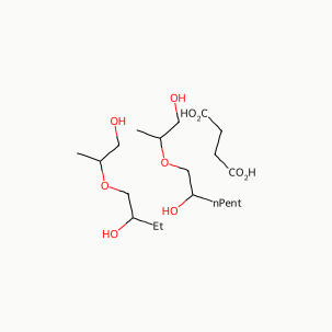 CCC(O)COC(C)CO.CCCCCC(O)COC(C)CO.O=C(O)CCC(=O)O